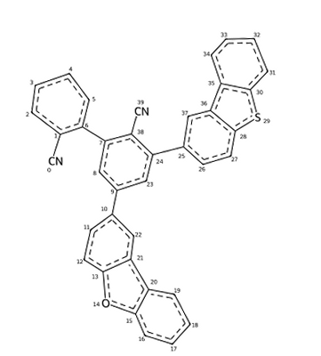 N#Cc1ccccc1-c1cc(-c2ccc3oc4ccccc4c3c2)cc(-c2ccc3sc4ccccc4c3c2)c1C#N